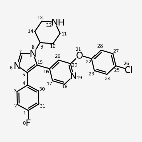 Fc1ccc(-c2ncn(C3CCNCC3)c2-c2ccnc(Oc3ccc(Cl)cc3)c2)cc1